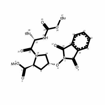 COC(=O)[C@@H]1C[C@@H](ON2C(=O)c3ccccc3C2=O)CN1C(=O)[C@@H](NC(=O)OC(C)(C)C)C(C)(C)C